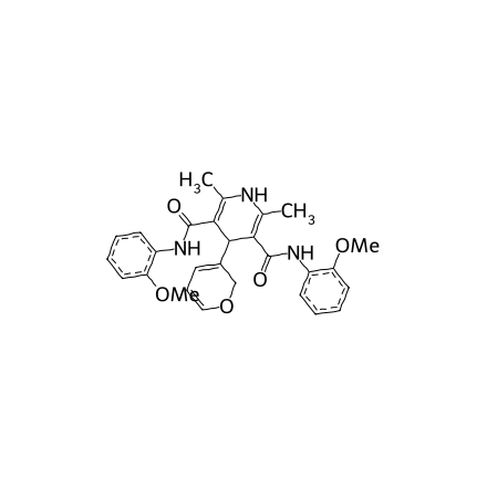 COc1ccccc1NC(=O)C1=C(C)NC(C)=C(C(=O)Nc2ccccc2OC)C1C1=CC=COC1